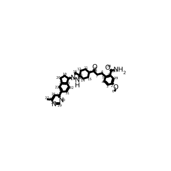 COc1ccc(CCC(=O)C2CCC3(CC2)CN(C2CCc4cc(-c5cc(C)ncn5)ccc42)N3)c(C(N)=O)c1